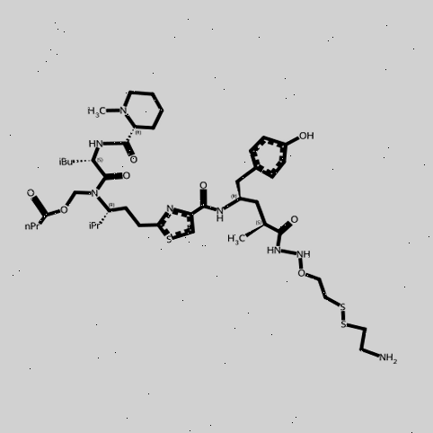 CCCC(=O)OCN(C(=O)[C@@H](NC(=O)[C@H]1CCCCN1C)C(C)CC)[C@H](CCc1nc(C(=O)N[C@@H](Cc2ccc(O)cc2)C[C@H](C)C(=O)NNOCCSSCCN)cs1)C(C)C